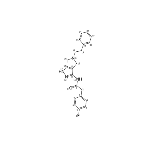 O=C(Cc1ccc(F)cc1)Nc1n[nH]c2c1CN(CCc1ccccc1)C2